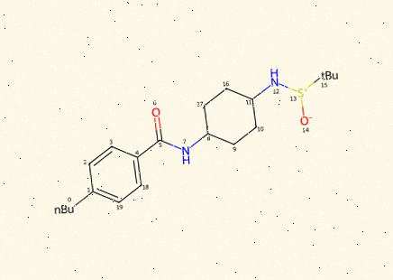 CCCCc1ccc(C(=O)NC2CCC(N[S+]([O-])C(C)(C)C)CC2)cc1